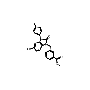 COC(=O)c1cccc(Cn2c(=O)n(-c3ccc(C)cc3)c3cc(Cl)ccc32)c1